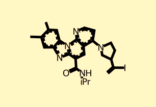 C=C(I)C1CCN(c2ccnc3c2cc(C(=O)NC(C)C)c2nc4cc(C)c(C)cc4n23)C1